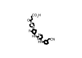 N#CCc1cccc(Nc2ccnc(Nc3ccc(N4CCN(C(=O)CCC(=O)O)CC4)c(F)c3)n2)c1